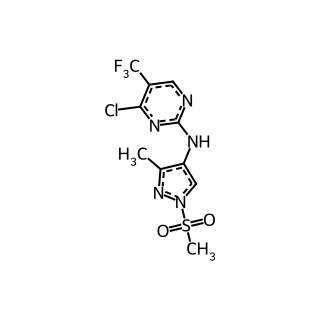 Cc1nn(S(C)(=O)=O)cc1Nc1ncc(C(F)(F)F)c(Cl)n1